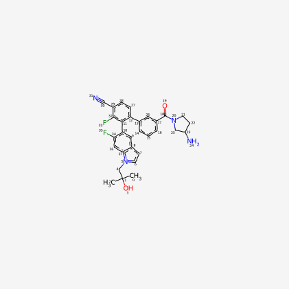 CC(C)(O)Cn1ccc2cc(-c3c(-c4cccc(C(=O)N5CCC(N)C5)c4)ccc(C#N)c3F)c(F)cc21